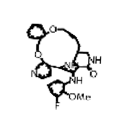 COc1c(F)cccc1Nc1c2[nH]c3c1C(=O)NCC3C/C=C\COc1ccccc1COc1cnccc1-2